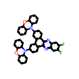 Fc1cc2nc3c4ccc(N5c6ccccc6Oc6ccccc65)cc4c4cc(N5c6ccccc6Oc6ccccc65)ccc4c3nc2cc1F